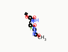 COc1ccnc(N2CCN(C(=O)c3cc(Cc4n[nH]c(=O)c5ccc(OC6CCC6)cc45)ccc3F)CC2)c1